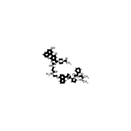 CN[C@@H](C)C(=O)N[C@H](C(=O)N1CCC[C@H]1c1nc(-c2ccc(OCCN(C)C(=O)CCNc3nc(N4CCN(C(C)=O)CC4)c4cc(Cl)c(-c5cc(O)cc6ccccc56)c(F)c4n3)c3ccccc23)cs1)C1CCCCC1